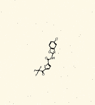 O=C(Nc1nc2cc(Cl)ccc2o1)c1ccc(C(=O)C(F)(F)F)s1